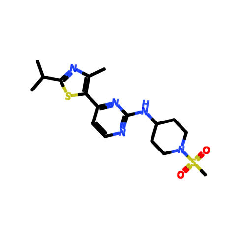 Cc1nc(C(C)C)sc1-c1ccnc(NC2CCN(S(C)(=O)=O)CC2)n1